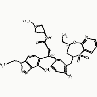 CC[C@@H]1CN(Cc2cc([C@H](CC(=O)NC3CN(C)C3)c3ccc4c(nnn4CC)c3C)ccc2C)S(=O)(=O)c2cccnc2O1